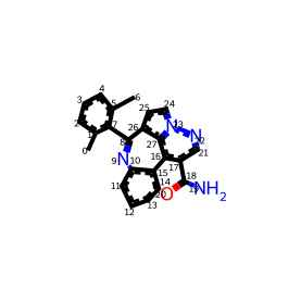 Cc1cccc(C)c1C1=Nc2ccccc2-c2c(C(N)=O)cnn3ccc1c23